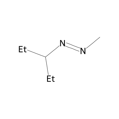 [CH2]CC(CC)N=NC